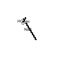 CCCCCCCCCCCCCCCCNC(C(=O)O)C(C)CC.[NaH]